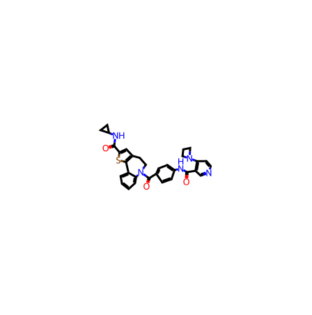 O=C(NC1CC1)c1cc2c(s1)-c1ccccc1N(C(=O)c1ccc(NC(=O)c3cnccc3N3CCC3)cc1)CC2